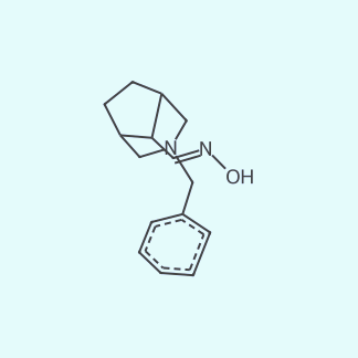 O/N=C/C1C2CCC1CN(Cc1ccccc1)C2